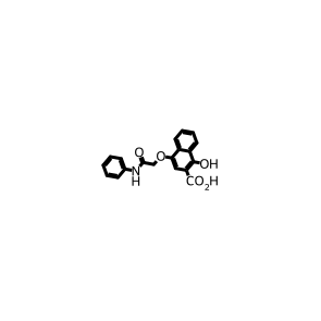 O=C(COc1cc(C(=O)O)c(O)c2ccccc12)Nc1ccccc1